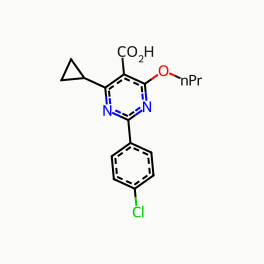 CCCOc1nc(-c2ccc(Cl)cc2)nc(C2CC2)c1C(=O)O